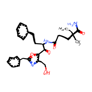 CC(C)(C[CH]C(=O)NC(CCc1ccccc1)C(=O)c1oc(-c2ccccc2)nc1CO)C(N)=O